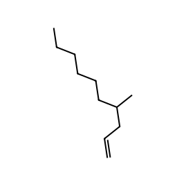 C=CCC(C)CCCCCC